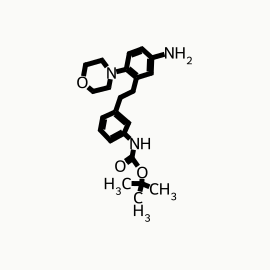 CC(C)(C)OC(=O)Nc1cccc(CCc2cc(N)ccc2N2CCOCC2)c1